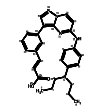 CCCN(CCC)c1ccc(Nc2ccn3ncc(-c4cccc(/C=C/C(=O)O)c4)c3n2)cc1